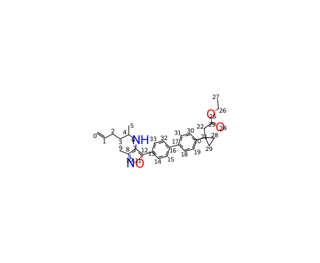 C=CCCC(C)Nc1c(C)noc1-c1ccc(-c2ccc(C3(CC(=O)OCC)CC3)cc2)cc1